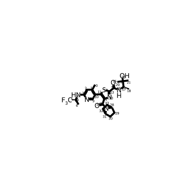 Cc1cc(N[C@@H](C)C(F)(F)F)ncc1-c1sc(C(=O)N[C@H](C)C(C)(C)O)nc1C(=O)N1C2CCC1CC2